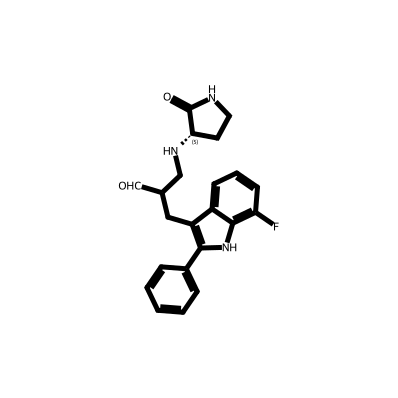 O=CC(CN[C@H]1CCNC1=O)Cc1c(-c2ccccc2)[nH]c2c(F)cccc12